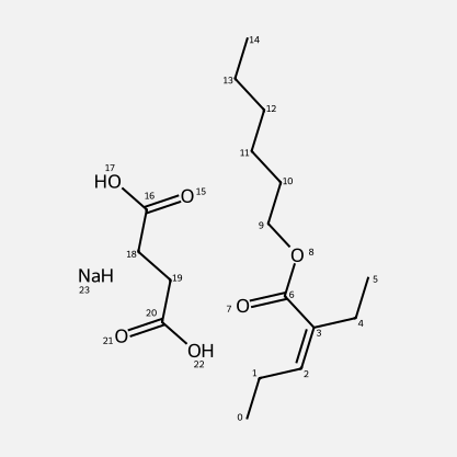 CCC=C(CC)C(=O)OCCCCCC.O=C(O)CCC(=O)O.[NaH]